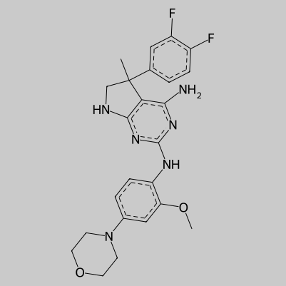 COc1cc(N2CCOCC2)ccc1Nc1nc(N)c2c(n1)NCC2(C)c1ccc(F)c(F)c1